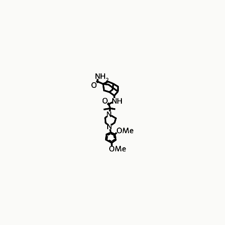 COc1ccc(N2CCN(C(C)(C)C(=O)NC3C4CC5CC3CC(C(N)=O)(C5)C4)CC2)c(OC)c1